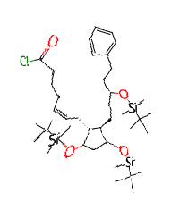 CC(C)(C)[Si](C)(C)OC(CCc1ccccc1)CC[C@H]1C(O[Si](C)(C)C(C)(C)C)CC(O[Si](C)(C)C(C)(C)C)[C@@H]1C/C=C\CCCC(=O)Cl